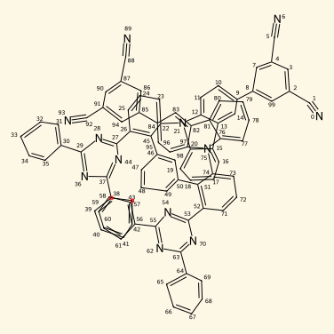 N#Cc1cc(C#N)cc(-c2ccc3c(c2)c2ccccc2n3-c2cccc(-c3nc(-c4ccccc4)nc(-c4ccccc4)n3)c2-c2cccc(-c3c(-c4nc(-c5ccccc5)nc(-c5ccccc5)n4)cccc3-n3c4ccccc4c4cc(-c5cc(C#N)cc(C#N)c5)ccc43)c2)c1